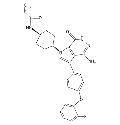 C=CC(=O)N[C@H]1CC[C@@H](n2cc(-c3ccc(Oc4ccccc4F)cc3)c3c(N)n[nH]c(=O)c32)CC1